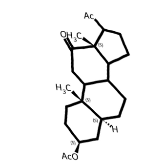 CC(=O)O[C@H]1CC[C@]2(C)C3CC(=O)[C@]4(C)C(C(C)=O)CCC4C3CC[C@H]2C1